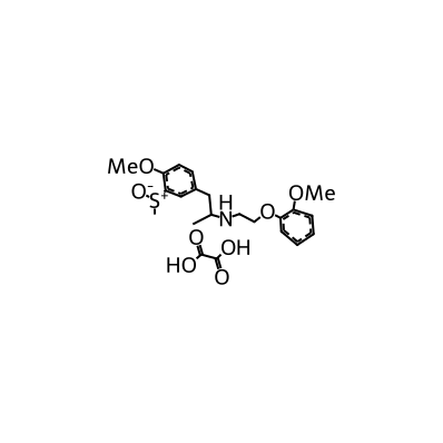 COc1ccccc1OCCNC(C)Cc1ccc(OC)c([S+](C)[O-])c1.O=C(O)C(=O)O